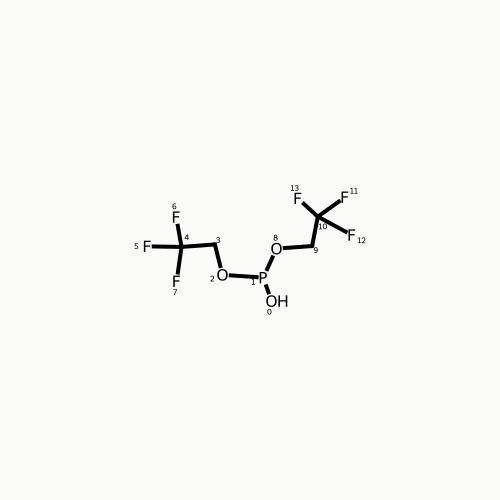 OP(OCC(F)(F)F)OCC(F)(F)F